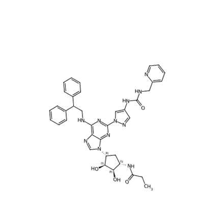 CCC(=O)N[C@H]1C[C@@H](n2cnc3c(NCC(c4ccccc4)c4ccccc4)nc(-n4cc(NC(=O)NCc5ccccn5)cn4)nc32)[C@H](O)[C@@H]1O